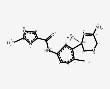 Cc1nc(C(=O)Nc2ccc(F)c([C@]3(C)COCC(N)=N3)c2)co1